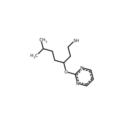 CC(C)CCC(CCS)Oc1ncccn1